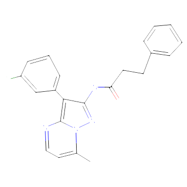 Cc1ccnc2c(-c3cccc(Cl)c3)c(NC(=O)CCc3ccccc3)nn12